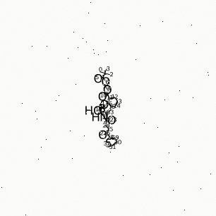 CC(C)(C)C(=O)OCOC(=O)c1cccc2c1OB(O)[C@@H](NC(=O)CCC(=O)c1cccs1)C2